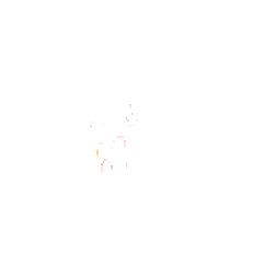 CC[Si](C)(C)OP(=O)(O)F